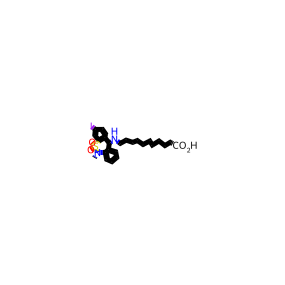 CN1c2ccccc2C(NCCCCCCCCCCC(=O)O)c2ccc(I)cc2S1(=O)=O